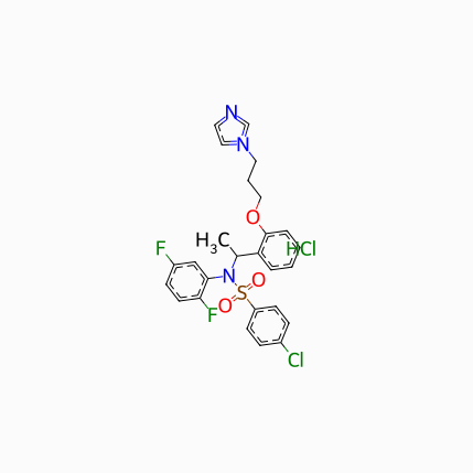 CC(c1ccccc1OCCCn1ccnc1)N(c1cc(F)ccc1F)S(=O)(=O)c1ccc(Cl)cc1.Cl